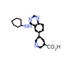 O=C(O)c1cncc(-c2ccc3ncnc(NC4CCCCC4)c3c2)c1